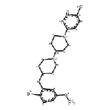 COc1ccc(Br)c(CC2CCN(C3CCN(c4ccc(Cl)nn4)CC3)CC2)c1